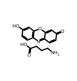 NCCCC(=O)O.O=c1ccc2nc3ccc(O)cc3oc-2c1